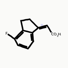 O=C(O)/C=C1/CCc2c(F)cccc21